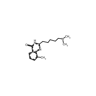 Cc1cccc2c(=O)[nH]c(CCCCCN(C)C)nc12